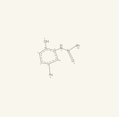 CC(=O)c1ccc(O)c(NC(=O)C(C)C)c1